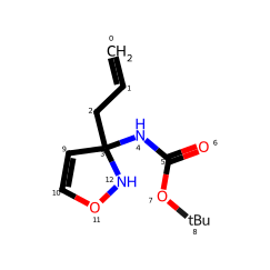 C=CCC1(NC(=O)OC(C)(C)C)C=CON1